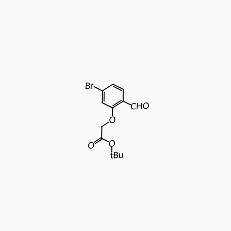 CC(C)(C)OC(=O)COc1cc(Br)ccc1C=O